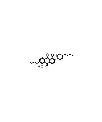 CCCCc1ccc2c(c1O)C(=O)c1ccc([C@H]3CC[C@H](CCCC)CC3)c(O)c1C2=O